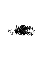 C[C@H](NC(=O)OCc1ccc(NC(=O)Cc2ccc(F)cc2)cc1)C(=O)O[C@H]1[C@@H](O)[C@H](n2cnc3c(N)ncnc32)O[C@@H]1COP(=O)(O)O[C@H]1[C@@H](OC2CCCO2)[C@H](n2ccc(N)nc2=O)O[C@@H]1COP(=O)(O)O